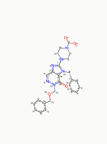 O=C(O)N1CCN(c2nc3cnn(COCc4ccccc4)c(=O)c3n2Cc2ccccc2)CC1